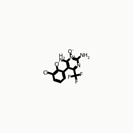 Nc1nc(C(F)(F)F)c(-c2cccc(Cl)c2Cl)c(N)[n+]1[O-]